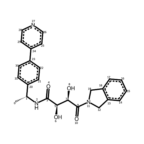 C[C@@H](NC(=O)[C@H](O)[C@@H](O)C(=O)N1Cc2ccccc2C1)c1ccc(-c2ccncc2)cc1